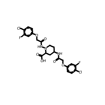 O=C(COc1ccc(Cl)c(F)c1)NC1CCN(NC(=O)COc2ccc(Cl)c(F)c2)C(C(=O)O)C1